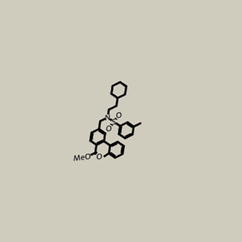 COC(=O)c1ccc(CN(CCC2CCCCC2)S(=O)(=O)c2cccc(C)c2)cc1-c1ccccc1C